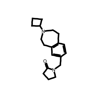 O=C1CCCN1Cc1ccc2c(c1)CCN(C1CCC1)CC2